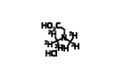 Cl.[2H]C([2H])([2H])N(CC(=O)O)C([2H])([2H])[2H]